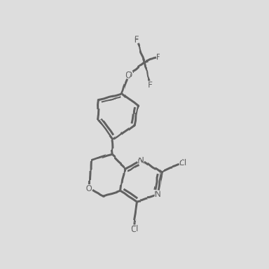 FC(F)(F)Oc1ccc(C2COCc3c(Cl)nc(Cl)nc32)cc1